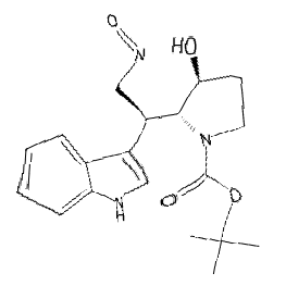 CC(C)(C)OC(=O)N1CC[C@H](O)[C@H]1[C@H](CN=O)c1c[nH]c2ccccc12